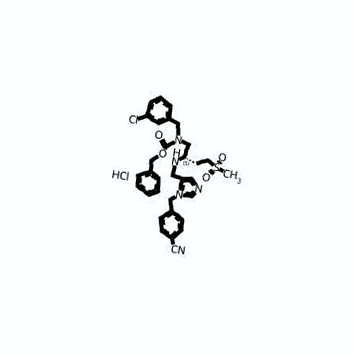 CS(=O)(=O)CC[C@@H](CN(Cc1cccc(Cl)c1)C(=O)OCc1ccccc1)NCc1cncn1Cc1ccc(C#N)cc1.Cl